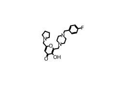 O=c1cc(CN2CCCC2)oc(CN2CCN(Cc3ccc(F)cc3)CC2)c1O